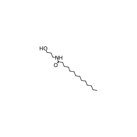 CCCCCCCCCCCCCC(=O)NCCCO